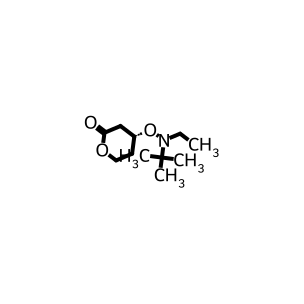 CCN(O[C@@H]1CCOC(=O)C1)C(C)(C)C